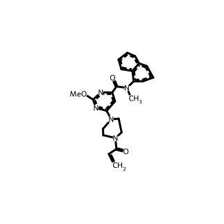 C=CC(=O)N1CCN(c2cc(C(=O)N(C)c3cccc4ccccc34)nc(OC)n2)CC1